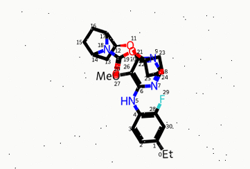 CCc1ccc(Nc2ncnc(O[C@H]3CC4CCC3N4C(=O)OC3CCC3)c2OC)c(F)c1